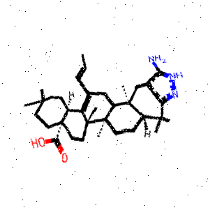 C/C=C/C1=C2[C@@H]3CC(C)(C)CC[C@]3(C(=O)O)CC[C@@]2(C)[C@]2(C)CC[C@H]3C(C)(C)c4n[nH]c(N)c4C[C@]3(C)C2C1